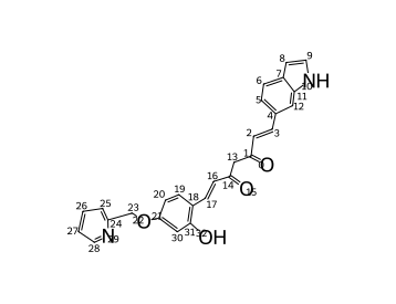 O=C(C=Cc1ccc2cc[nH]c2c1)CC(=O)C=Cc1ccc(OCc2ccccn2)cc1O